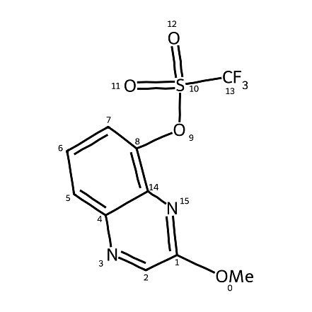 COc1cnc2cccc(OS(=O)(=O)C(F)(F)F)c2n1